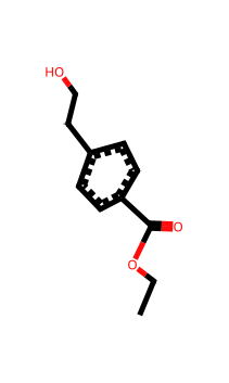 CCOC(=O)c1ccc([CH]CO)cc1